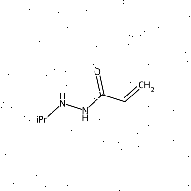 C=CC(=O)NNC(C)C